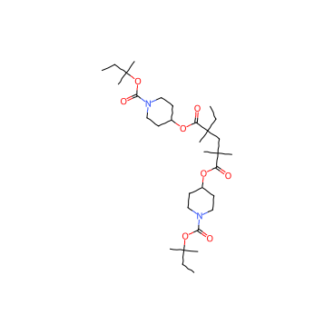 CCC(C)(C)OC(=O)N1CCC(OC(=O)C(C)(C)CC(C)(CC)C(=O)OC2CCN(C(=O)OC(C)(C)CC)CC2)CC1